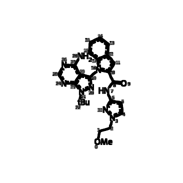 COCCn1ccc(NC(=O)c2cc3ccccc3n2-c2nn(C(C)(C)C)c3ncnc(N)c23)n1